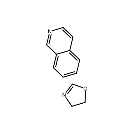 C1=NCCO1.c1ccc2cnccc2c1